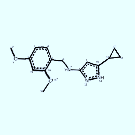 COc1ccc(CNc2cc(C3CC3)[nH]n2)c(OC)c1